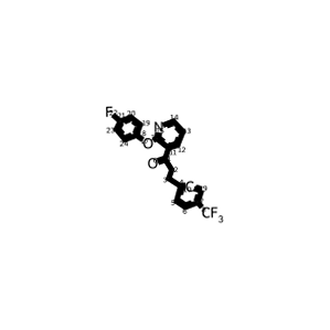 O=C(CCc1ccc(C(F)(F)F)cc1)c1cccnc1Oc1ccc(F)cc1